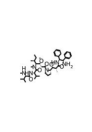 CC[C@H](C)[C@@H]([C@@H](CC(=O)N1CCC[C@H]1[C@H](OC)[C@@H](C)C(=O)N[C@@H](C1C=CC=CC1)[C@@H](N)c1ccccc1)OC)N(C)C(=O)[C@@H](NC(=O)[C@@H](NC)C(C)C)C(C)C